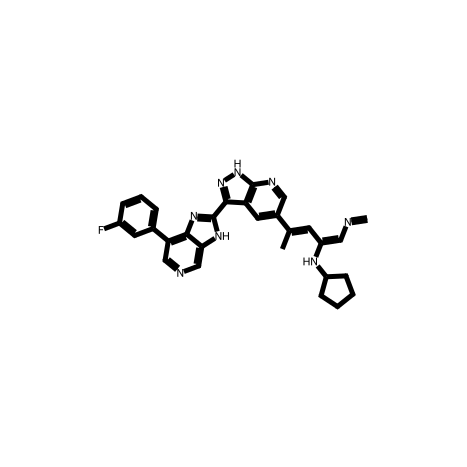 C=N/C=C(\C=C(/C)c1cnc2[nH]nc(-c3nc4c(-c5cccc(F)c5)cncc4[nH]3)c2c1)NC1CCCC1